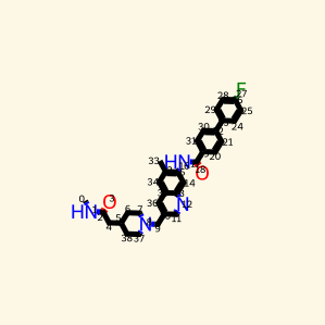 CNC(=O)CC1CCN(Cc2cnc3cc(NC(=O)c4ccc(-c5ccc(F)cc5)cc4)c(C)cc3c2)CC1